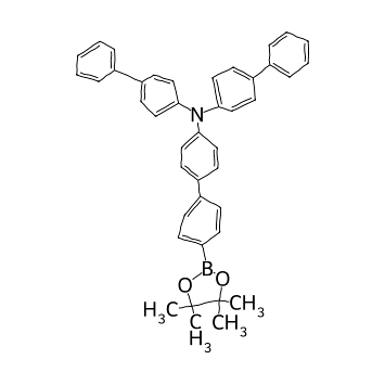 CC1(C)OB(c2ccc(-c3ccc(N(c4ccc(-c5ccccc5)cc4)c4ccc(-c5ccccc5)cc4)cc3)cc2)OC1(C)C